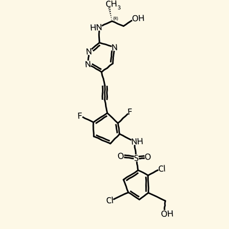 C[C@H](CO)Nc1ncc(C#Cc2c(F)ccc(NS(=O)(=O)c3cc(Cl)cc(CO)c3Cl)c2F)nn1